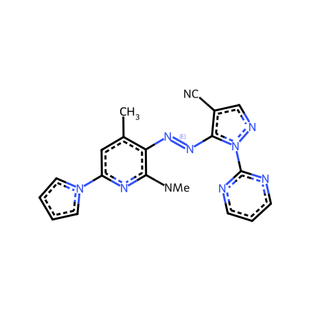 CNc1nc(-n2cccc2)cc(C)c1/N=N/c1c(C#N)cnn1-c1ncccn1